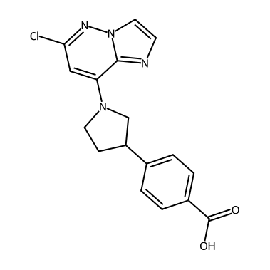 O=C(O)c1ccc(C2CCN(c3cc(Cl)nn4ccnc34)C2)cc1